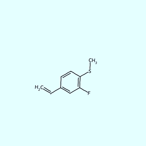 C=[C]c1ccc(SC)c(F)c1